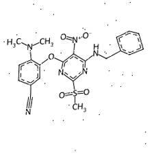 CN(C)c1ccc(C#N)cc1Oc1nc(S(C)(=O)=O)nc(NCc2ccccc2)c1[N+](=O)[O-]